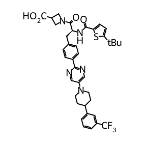 CC(C)(C)c1ccc(C(=O)N[C@@H](Cc2ccc(-c3ncc(N4CCC(c5cccc(C(F)(F)F)c5)CC4)cn3)cc2)C(=O)N2CC(C(=O)O)C2)s1